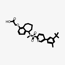 Cc1cc(-c2ccc(S(=O)(=O)N(C)C3CCCCc4c(OCC(=O)O)cccc43)nc2)cc(C(C)(C)C)c1